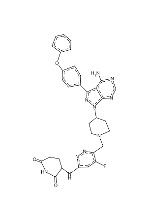 Nc1ncnc2c1c(-c1ccc(Oc3ccccc3)cc1)nn2C1CCN(Cc2nnc(NC3CCC(=O)NC3=O)cc2F)CC1